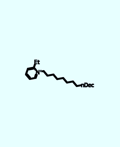 CCCCCCCCCCCCCCCCCC[n+]1ccccc1CC